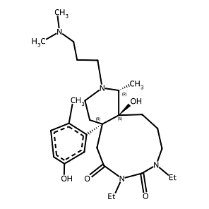 CCN1CCC[C@@]2(O)[C@@H](C)N(CCCN(C)C)CC[C@]2(c2cc(O)ccc2C)CC(=O)N(CC)C1=O